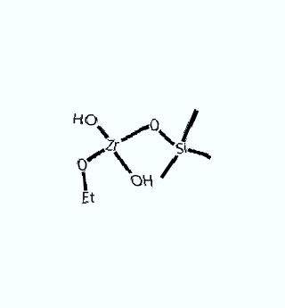 CC[O][Zr]([OH])([OH])[O][Si](C)(C)C